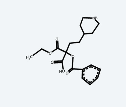 CCOC(=O)C(CCC1CCNCC1)(OC(=O)c1ccccc1)C(=O)O